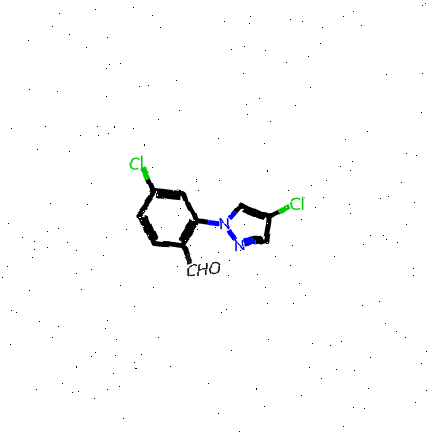 O=Cc1ccc(Cl)cc1-n1cc(Cl)cn1